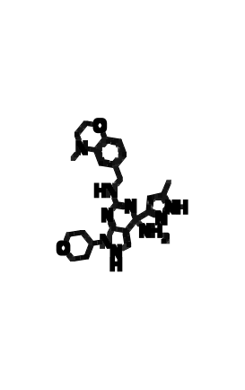 Cc1cc(C2(N)N=C(NCc3ccc4c(c3)N(C)CCO4)N=C3C2=CNN3C2CCOCC2)n[nH]1